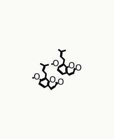 COc1ccc2ccc(=O)oc2c1CC=C(C)C.COc1ccc2ccc(=O)oc2c1CC=C(C)C